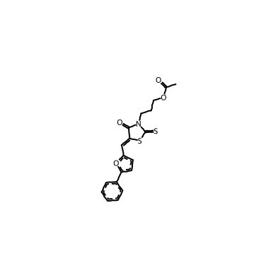 CC(=O)OCCCN1C(=O)C(=Cc2ccc(-c3ccccc3)o2)SC1=S